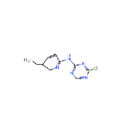 CCC1C=CC(Nc2ncnc(Cl)n2)=NC1